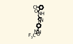 O=C(NCc1cnn(-c2ccc(-c3noc(C(F)(F)F)n3)cc2)c1)c1ccccc1Cl